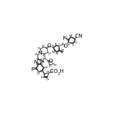 N#Cc1ccc(OCc2cc(OC3CCN(Cc4nc5c(F)cc(C6C#CC6C(=O)O)cc5n4C[C@@H]4CCO4)CC3)ccc2F)c(F)c1